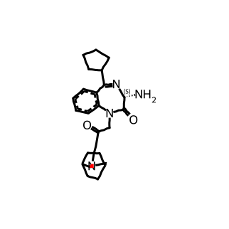 N[C@H]1N=C(C2CCCC2)c2ccccc2N(CC(=O)N2CC3CCC(CC3)C2)C1=O